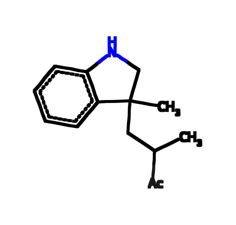 CC(=O)C(C)CC1(C)CNc2ccccc21